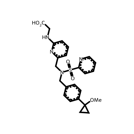 COC1(c2ccc(CN(Cc3cccc(NCC(=O)O)n3)S(=O)(=O)c3ccccn3)cc2)CC1